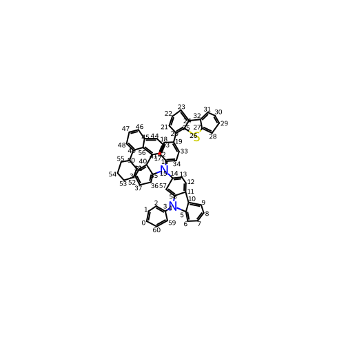 c1ccc(-n2c3ccccc3c3ccc(N(c4ccc(-c5cccc6c5sc5ccccc56)cc4)c4ccccc4-c4cccc5cccc(C6CCCCC6)c45)cc32)cc1